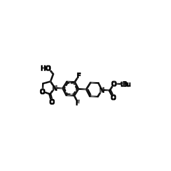 CC(C)(C)OC(=O)N1CC=C(c2c(F)cc(N3C(=O)OCC3CO)cc2F)CC1